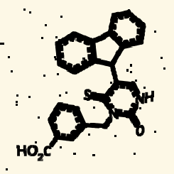 O=C(O)c1cccc(Cn2c(=O)[nH]cc(C3c4ccccc4-c4ccccc43)c2=S)c1